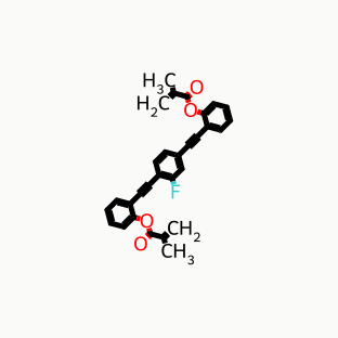 C=C(C)C(=O)Oc1ccccc1C#Cc1ccc(C#Cc2ccccc2OC(=O)C(=C)C)c(F)c1